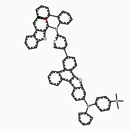 CS(C)(C)c1ccc(N(c2ccccc2)c2ccc3c(c2)oc2c4ccc(-c5ccc(N(c6ccccc6-c6ccccc6)c6cccc7c6oc6ccccc67)cc5)cc4c4ccccc4c32)cc1